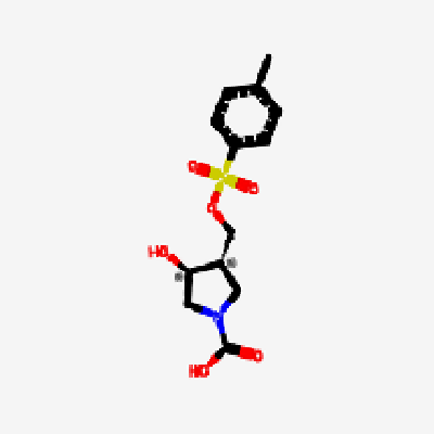 Cc1ccc(S(=O)(=O)OC[C@@H]2CN(C(=O)O)C[C@H]2O)cc1